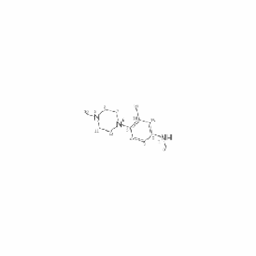 CNc1ccc(N2CCN(C)CC2)c(C)c1